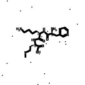 CSCC[C@H](NC(=O)[C@H](CCCCN)NC(=O)[C@@H](N)Cc1cccnc1)C(=O)O